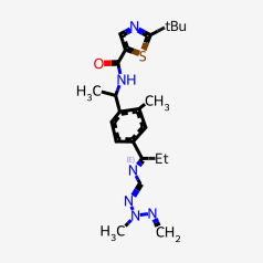 C=NN(C)N=C/N=C(\CC)c1ccc(C(C)NC(=O)c2cnc(C(C)(C)C)s2)c(C)c1